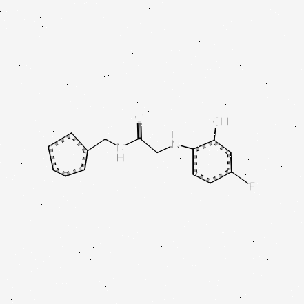 Cc1cc(F)ccc1NCC(=O)NCc1ccccc1